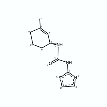 CC1=C[C@@H](NC(=O)Nc2nccs2)CCC1